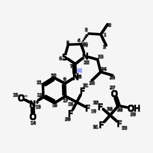 CC(C)C[C@H]1CS/C(=N\c2ccc([N+](=O)[O-])cc2C(F)(F)F)N1CC(C)C.O=C(O)C(F)(F)F